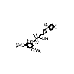 COc1cc(NC(=O)N[C@H](CO)CCN2CC([S+]([O-])c3ccc(Cl)cc3)C2)cc(OC)c1